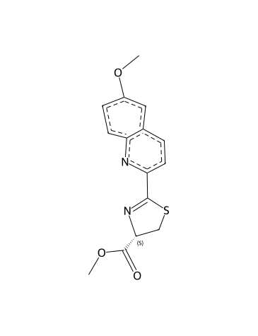 COC(=O)[C@H]1CSC(c2ccc3cc(OC)ccc3n2)=N1